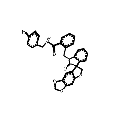 O=C(NCc1ccc(F)cc1)c1ccccc1CN1C(=O)C2(COc3cc4c(cc32)OCO4)c2ccccc21